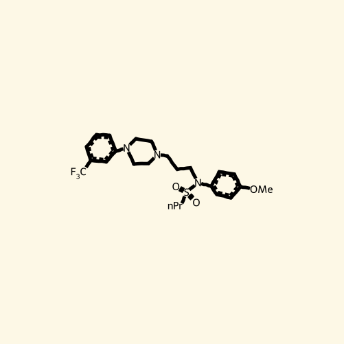 CCCS(=O)(=O)N(CCCN1CCN(c2cccc(C(F)(F)F)c2)CC1)c1ccc(OC)cc1